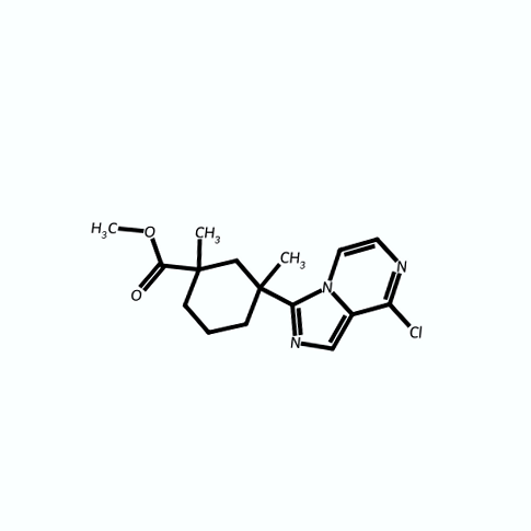 COC(=O)C1(C)CCCC(C)(c2ncc3c(Cl)nccn23)C1